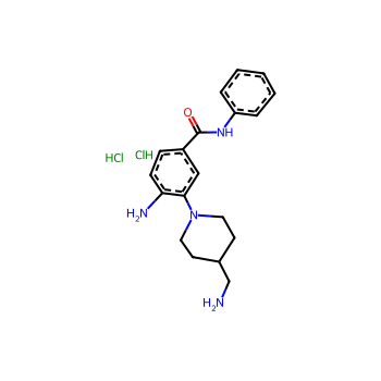 Cl.Cl.NCC1CCN(c2cc(C(=O)Nc3ccccc3)ccc2N)CC1